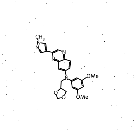 COc1cc(OC)cc(N(CC2COCO2)c2ccc3ncc(-c4cnn(C)c4)nc3c2)c1